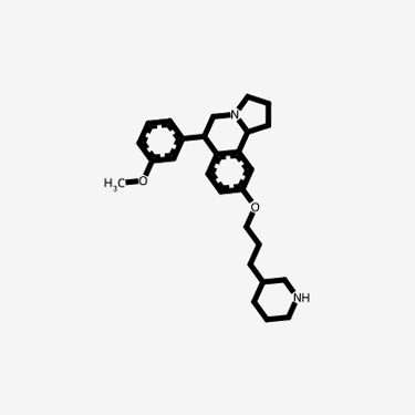 COc1cccc(C2CN3CCCC3c3cc(OCCCC4CCCNC4)ccc32)c1